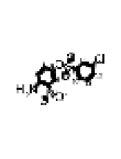 Nc1ccc(OS(=O)(=O)c2cccc(Cl)c2)cc1[N+](=O)[O-]